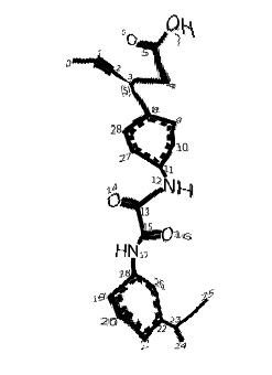 CC#C[C@@H](CC(=O)O)c1ccc(NC(=O)C(=O)Nc2cccc(C(C)C)c2)cc1